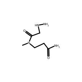 CN(CCC(N)=O)C(=O)CNN